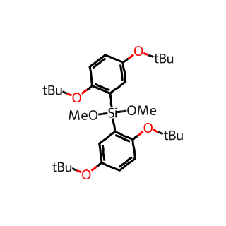 CO[Si](OC)(c1cc(OC(C)(C)C)ccc1OC(C)(C)C)c1cc(OC(C)(C)C)ccc1OC(C)(C)C